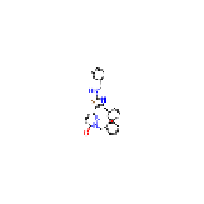 O=c1ccc(-c2sc(NCc3ccccc3)nc2-c2ccccc2)nn1Cc1ccccc1